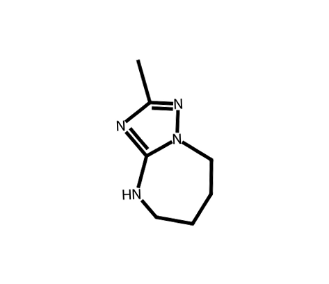 Cc1nc2n(n1)CCCCN2